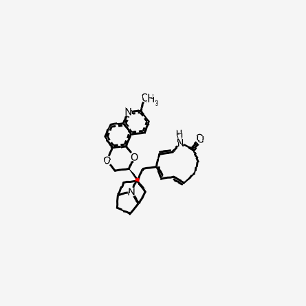 Cc1ccc2c3c(ccc2n1)OC[C@H](CN1C2CCC1CC(CC1=C/C=C/CCC(=O)N\C=C\1)C2)O3